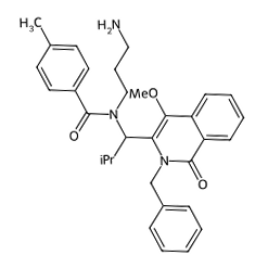 COc1c(C(C(C)C)N(CCCN)C(=O)c2ccc(C)cc2)n(Cc2ccccc2)c(=O)c2ccccc12